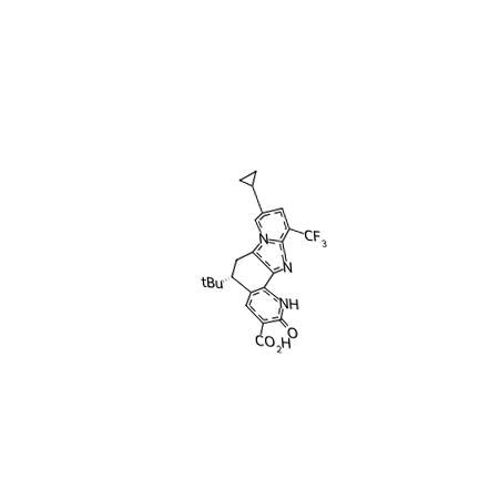 CC(C)(C)[C@@H]1Cc2c(nc3c(C(F)(F)F)cc(C4CC4)cn23)-c2[nH]c(=O)c(C(=O)O)cc21